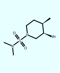 CC(C)[C@H]1CN(S(=O)(=O)N(C)C)CC[C@H]1C